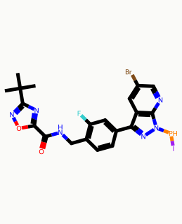 CC(C)(C)c1noc(C(=O)NCc2ccc(-c3nn(PI)c4ncc(Br)cc34)cc2F)n1